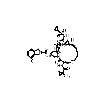 O=C1N[C@]2(C(=O)NS(=O)(=O)C3CC3)C[C@H]2/C=C\CCCCC[C@H](NC(=O)C2(C(F)(F)F)CC2)C(=O)N2C[C@H](OC(=O)N3Cc4cccc(Cl)c4C3)C[C@@H]12